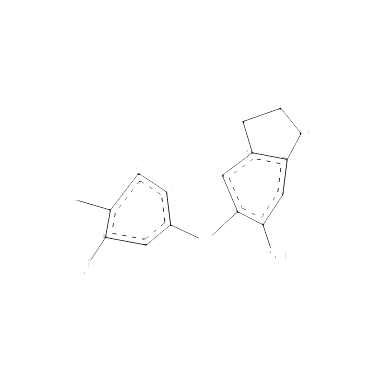 Nc1cc2c(cc1Oc1ccc(Cl)c(Cl)c1)CCC2